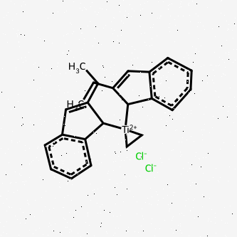 CCC1=Cc2ccccc2[CH]1[Ti+2]1([CH]2C(CC)=Cc3ccccc32)[CH2][CH2]1.[Cl-].[Cl-]